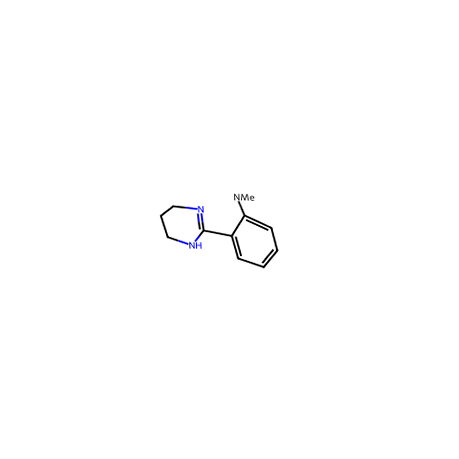 CNc1ccccc1C1=NCCCN1